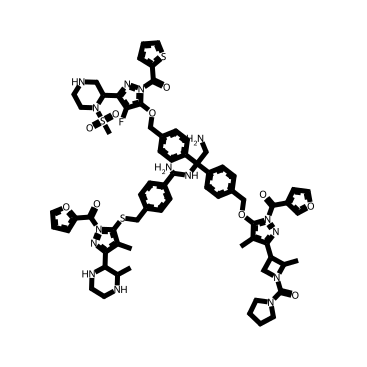 Cc1c(C2CN(C(=O)N3CCCC3)C2C)nn(C(=O)c2ccoc2)c1OCc1ccc(C(CN)(NC(N)c2ccc(CSc3c(C)c(C4NCCNC4C)nn3C(=O)c3ccco3)cc2)c2ccc(COc3c(F)c(C4CNCCN4S(C)(=O)=O)nn3C(=O)c3cccs3)cc2)cc1